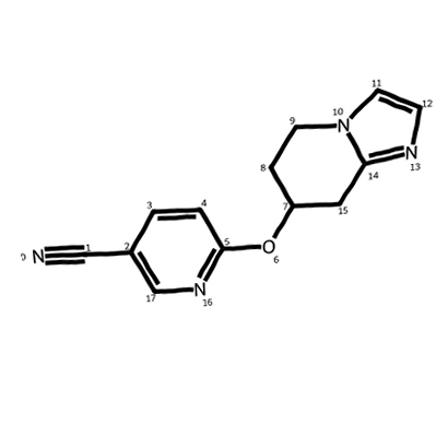 N#Cc1ccc(OC2CCn3ccnc3C2)nc1